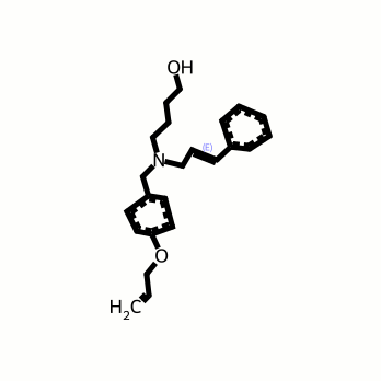 C=CCOc1ccc(CN(C/C=C/c2ccccc2)CCCCO)cc1